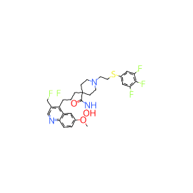 COc1ccc2ncc(CF)c([C@H](F)CCC3(C(=O)NO)CCN(CCSc4cc(F)c(F)c(F)c4)CC3)c2c1